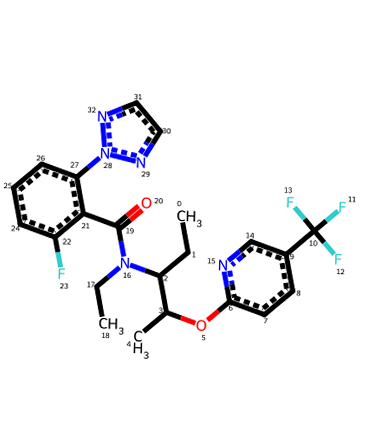 CCC(C(C)Oc1ccc(C(F)(F)F)cn1)N(CC)C(=O)c1c(F)cccc1-n1nccn1